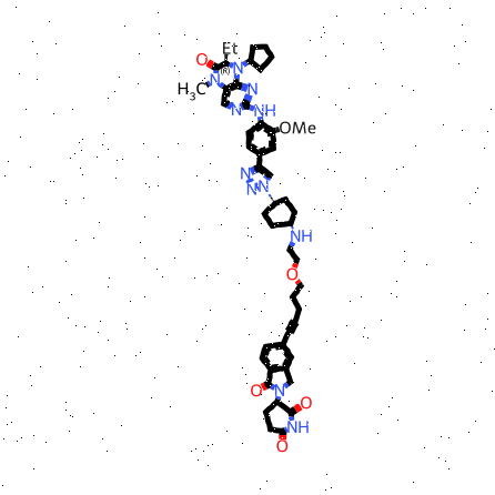 CC[C@@H]1C(=O)N(C)c2cnc(Nc3ccc(-c4cn([C@H]5CC[C@@H](NCCOCCCC#Cc6ccc7c(c6)CN(C6CCC(=O)NC6=O)C7=O)CC5)nn4)cc3OC)nc2N1C1CCCC1